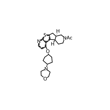 CC(=O)N1CC[C@@H]2c3c(sc4nccc(O[C@H]5CC[C@H](N6CCOCC6)CC5)c34)C[C@H]2C1